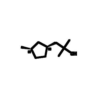 C[C@H]1CC[C@@H](CC(C)(C)O)C1